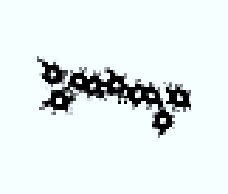 Cc1ccc(N(c2ccc3cc4c(cc3c2)oc2c4cc(C)c3c4cc5ccc(N(c6ccc(C)cc6)c6cc(C)ccc6C)cc5cc4oc23)c2cc(C)ccc2C)cc1